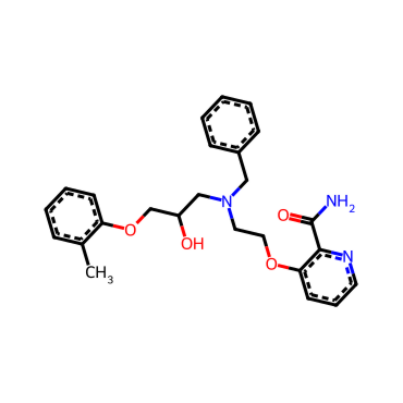 Cc1ccccc1OCC(O)CN(CCOc1cccnc1C(N)=O)Cc1ccccc1